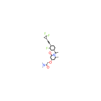 Cc1cc(OCC(=O)N(C)C)cc(=O)n1[C@H](C)c1ccc(C#CC2CC2(F)F)c(F)c1